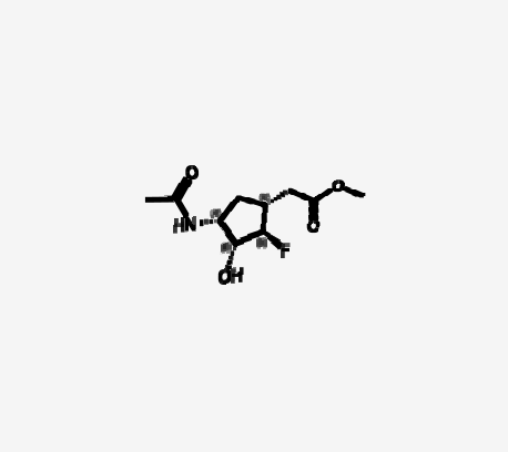 COC(=O)C[C@H]1C[C@@H](NC(C)=O)[C@@H](O)[C@@H]1F